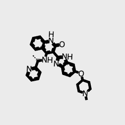 C[C@H](Nc1c(-c2nc3ccc(OC4CCN(C)CC4)cc3[nH]2)c(=O)[nH]c2ccccc12)c1ccccn1